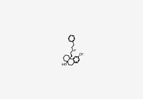 Oc1ccc2c(c1)C1(CCNCCc3ccccc3)CCCCC1(O)CC2